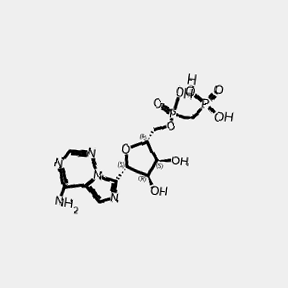 Nc1ncnn2c([C@@H]3O[C@H](COP(=O)(O)CP(=O)(O)O)[C@@H](O)[C@H]3O)ncc12